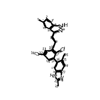 Cc1ccc2[nH]nc(CCc3cc(O)cc(-c4cc5[nH]c(C)nc5cc4C)c3Cl)c2c1